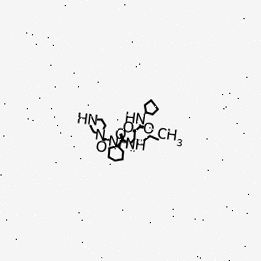 CCCC[C@H](NC(=O)C1(NC(=O)N2CCNCC2)CCCCC1)C(=O)C(=O)NC1CCCC1